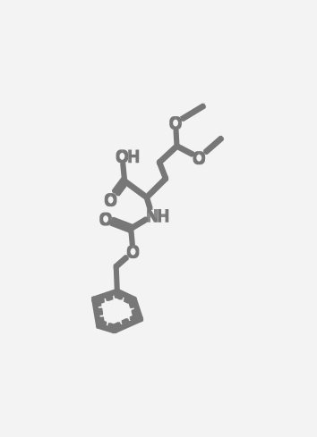 COC(CCC(NC(=O)OCc1ccccc1)C(=O)O)OC